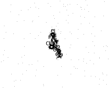 CC(C)S(=O)(=O)n1ccc(S(=O)(=O)n2nc(N3CCN(c4ncc(Cl)cc4F)CC34CC4)c3c(Cl)cccc32)c1